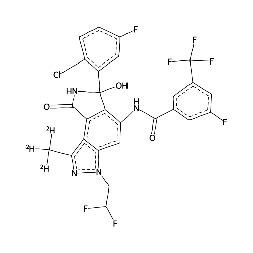 [2H]C([2H])([2H])c1nn(CC(F)F)c2cc(NC(=O)c3cc(F)cc(C(F)(F)F)c3)c3c(c12)C(=O)NC3(O)c1cc(F)ccc1Cl